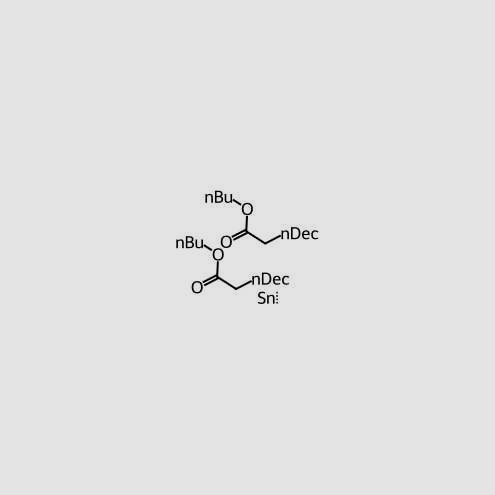 CCCCCCCCCCCC(=O)OCCCC.CCCCCCCCCCCC(=O)OCCCC.[Sn]